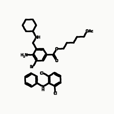 CC(=O)OCCCCCOC(=O)c1cc(Br)c(N)c(CNC2CCCCC2)c1.Clc1cccc(Cl)c1Nc1ccccc1